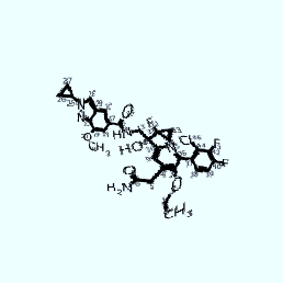 CCOc1c(CC(N)=O)cc([C@@](O)(CNC(=O)c2cc(OC)c3nn(C4CC4)cc3c2)C2(F)CC2)nc1-c1ccc(F)c(F)c1Cl